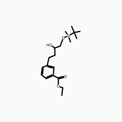 CCOC(=O)c1cccc(CCC(O)CO[Si](C)(C)C(C)(C)C)c1